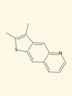 Cc1sc2cc3cccnc3cc2c1C